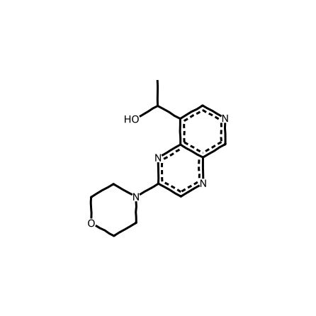 CC(O)c1cncc2ncc(N3CCOCC3)nc12